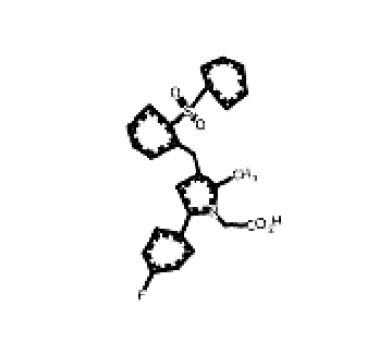 Cc1c(Cc2ccccc2S(=O)(=O)c2ccccc2)cc(-c2ccc(F)cc2)n1CC(=O)O